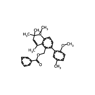 COc1ccc(C)cc1-c1ccc2c(c1COC(=O)c1ccccc1)C(C)=CC(C)(C)N2C